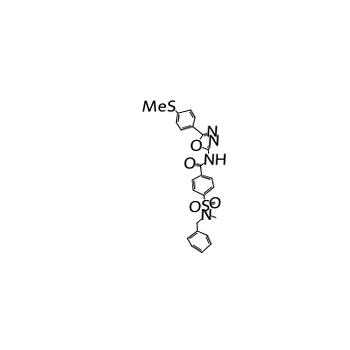 CSc1ccc(-c2nnc(NC(=O)c3ccc(S(=O)(=O)N(C)Cc4ccccc4)cc3)o2)cc1